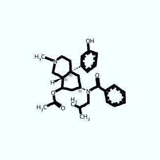 CC(=O)OC1C[C@@H](N(CC(C)C)C(=O)c2ccccc2)C[C@]2(c3cccc(O)c3)CCN(C)C[C@@H]12